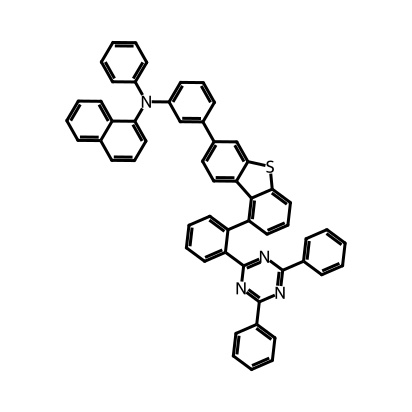 c1ccc(-c2nc(-c3ccccc3)nc(-c3ccccc3-c3cccc4sc5cc(-c6cccc(N(c7ccccc7)c7cccc8ccccc78)c6)ccc5c34)n2)cc1